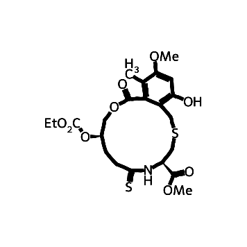 CCOC(=O)O[C@@H]1CCC(=S)N[C@H](C(=O)OC)CSCc2c(O)cc(OC)c(C)c2C(=O)OC1